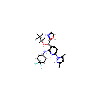 Cc1cc(C)n(-c2ccc(C(O[Si](C)(C)C(C)(C)C)c3ncco3)c(NC3CCC(F)(F)CC3)n2)n1